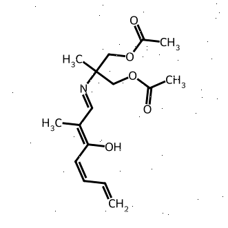 C=C\C=C/C(O)=C(C)/C=N/C(C)(COC(C)=O)COC(C)=O